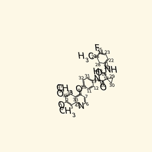 COc1cc2nccc(Oc3ccc(NC(=O)C4(C(=O)NC5=CC=C(F)C(C)C5)CC4)cc3)c2cc1OC